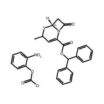 CC1C=C(C(=O)OC(c2ccccc2)c2ccccc2)N2C(=O)C[C@H]2S1.[O]C(=O)Oc1ccccc1[N+](=O)[O-]